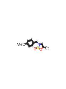 CCC1CN(Cc2ccc(OC)cc2)S(=O)O1